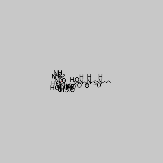 CCCCCNC(=O)CSCCNC(=O)CCNC(=O)C(O)C(C)(C)COP(=O)(O)OP(=O)(O)OCC1OC(n2cnc3c(N)ncnc32)C(O)C1OP(=O)(O)O